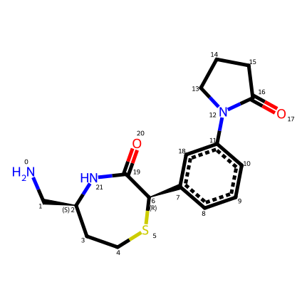 NC[C@@H]1CCS[C@H](c2cccc(N3CCCC3=O)c2)C(=O)N1